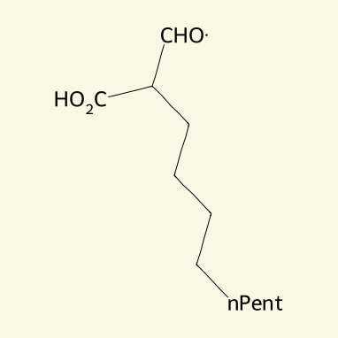 CCCCCCCCCC([C]=O)C(=O)O